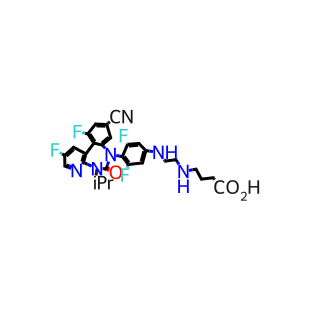 CC(C)N1C(=O)N(c2c(F)cc(NCCNCCCC(=O)O)cc2F)c2cc(C#N)cc(F)c2-c2cc(F)cnc21